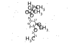 CCCOC1CCC(COC(=O)C(C)(C)CC)CC1OC